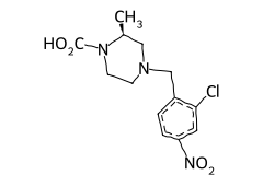 C[C@H]1CN(Cc2ccc([N+](=O)[O-])cc2Cl)CCN1C(=O)O